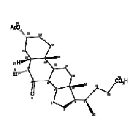 CC[C@H]1C(=O)C2C3CC[C@H]([C@H](C)CCC(=O)O)[C@@]3(C)CCC2[C@@]2(C)CC[C@@H](OC(C)=O)C[C@@H]12